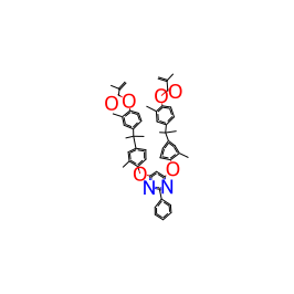 C=C(C)C(=O)Oc1ccc(C(C)(C)c2ccc(Oc3cc(Oc4ccc(C(C)(C)c5ccc(OC(=O)C(=C)C)c(C)c5)cc4C)nc(-c4ccccc4)n3)c(C)c2)cc1C